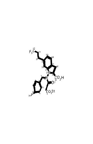 CCOC(=O)CC(=O)N(Cc1ccc(F)cc1)n1c(C(=O)O)cc2ccc(CCC(F)(F)F)cc21